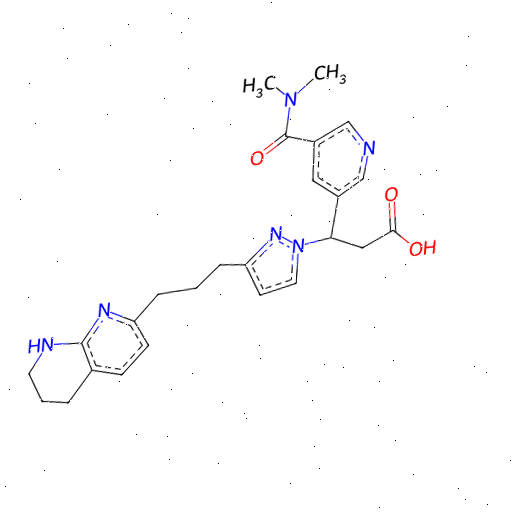 CN(C)C(=O)c1cncc(C(CC(=O)O)n2ccc(CCCc3ccc4c(n3)NCCC4)n2)c1